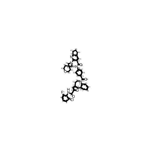 O=C(Nc1c(F)cccc1Cl)c1cc2c(o1)-c1ccccc1N(C(=O)c1ccc(NC(=O)c3cc4c(nc3N3CC5(CCOCC5)C3)CCC4)cc1)CC2